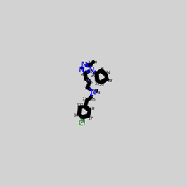 Cc1nnc(/C=C/CN(C)CCc2ccc(Cl)cc2)n1-c1ccccc1